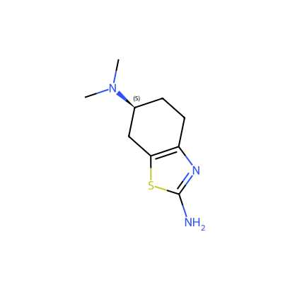 CN(C)[C@H]1CCc2nc(N)sc2C1